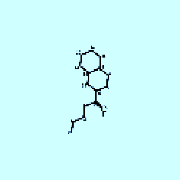 CCCCC(=O)C1CCC2CCCCC2C1